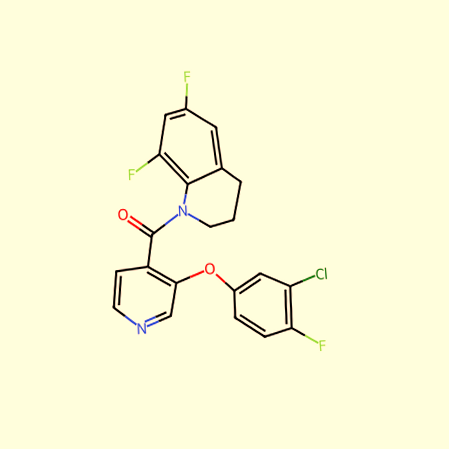 O=C(c1ccncc1Oc1ccc(F)c(Cl)c1)N1CCCc2cc(F)cc(F)c21